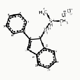 C[SiH](C)[Zr+2][CH]1C(c2ccccc2)=Cc2ccccc21.[Cl-].[Cl-]